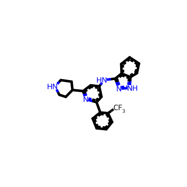 FC(F)(F)c1ccccc1-c1cc(Nc2n[nH]c3ccccc23)cc(C2CCNCC2)n1